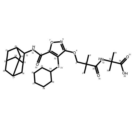 CC(C)(COc1noc(C(=O)NC2C3CC4CC(C3)CC2C4)c1SC1CCCCC1)C(=O)NC(C)(C)C(=O)O